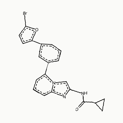 O=C(Nc1cn2c(-c3cccc(-c4ccc(Br)o4)c3)cccc2n1)C1CC1